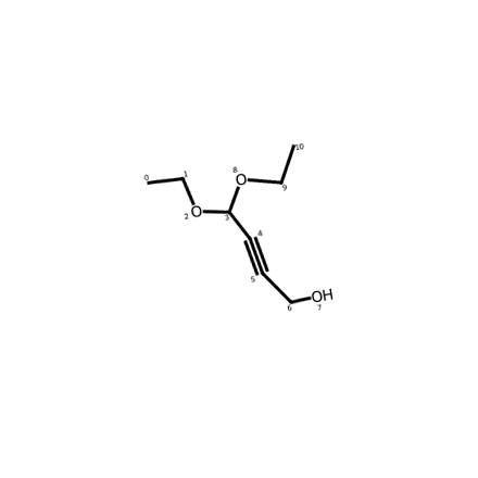 CCOC(C#CCO)OCC